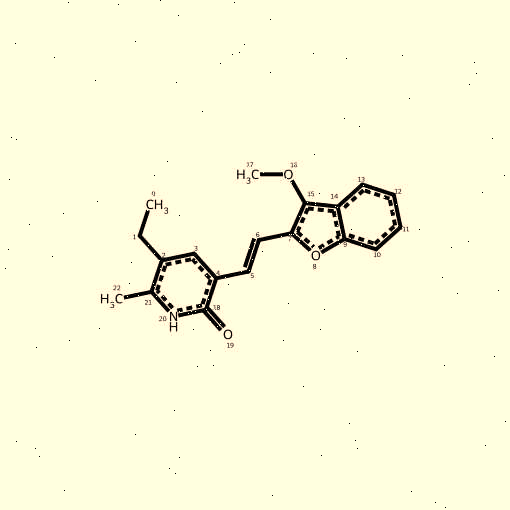 CCc1cc(C=Cc2oc3ccccc3c2OC)c(=O)[nH]c1C